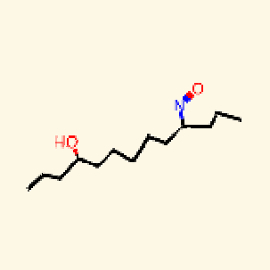 CCC[C@@H](O)CCCCC[C@H](CCC)N=O